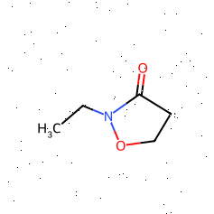 CCN1OC[CH]C1=O